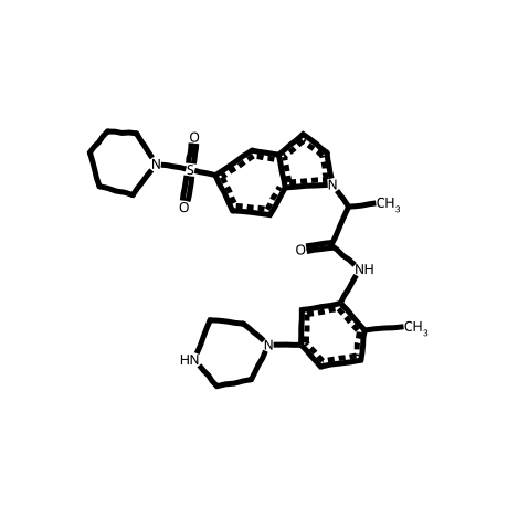 Cc1ccc(N2CCNCC2)cc1NC(=O)C(C)n1ccc2cc(S(=O)(=O)N3CCCCC3)ccc21